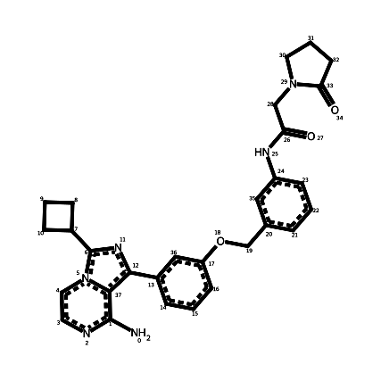 Nc1nccn2c(C3CCC3)nc(-c3cccc(OCc4cccc(NC(=O)CN5CCCC5=O)c4)c3)c12